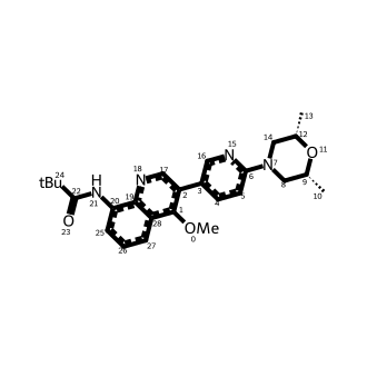 COc1c(-c2ccc(N3C[C@@H](C)O[C@@H](C)C3)nc2)cnc2c(NC(=O)C(C)(C)C)cccc12